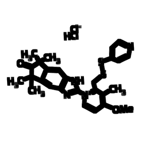 COc1cc[n+](-c2nc3cc4c(cc3[nH]2)C(C)(C)C(=O)C4(C)C)c(CSSc2ccncc2)c1C.Cl.[Cl-]